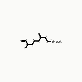 C=CC(C)CCCC(C)CCCCCCCCC